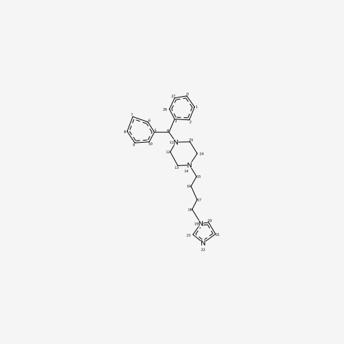 c1ccc(C(c2ccccc2)N2CCN(CCCCn3ccnc3)CC2)cc1